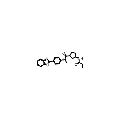 CCC(=O)NC1CCC(C(=O)N(C)c2ccc(-c3nc4ccccc4o3)cc2)C1